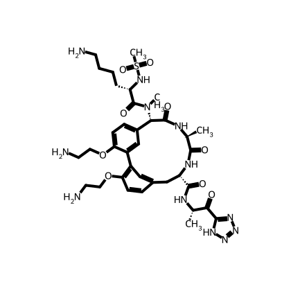 C[C@@H]1NC(=O)[C@@H](N(C)C(=O)[C@H](CCCCN)NS(C)(=O)=O)c2ccc(OCCN)c(c2)-c2cc(ccc2OCCN)C[C@@H](C(=O)N[C@@H](C)C(=O)c2nnn[nH]2)NC1=O